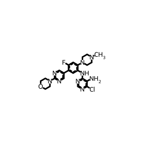 CN1CCN(c2cc(F)c(-c3cnc(N4CCOCC4)nc3)cc2Nc2ncnc(Cl)c2N)CC1